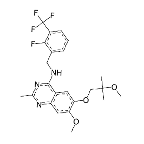 COc1cc2nc(C)nc(NCc3cccc(C(F)(F)F)c3F)c2cc1OCC(C)(C)OC